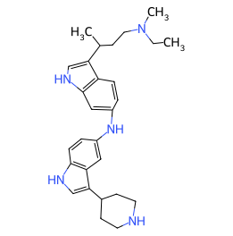 CCN(C)CCC(C)c1c[nH]c2cc(Nc3ccc4[nH]cc(C5CCNCC5)c4c3)ccc12